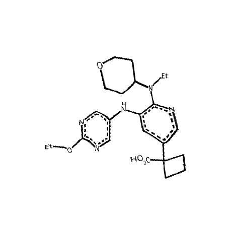 CCOc1ncc(Nc2cc(C3(C(=O)O)CCC3)cnc2N(CC)C2CCOCC2)cn1